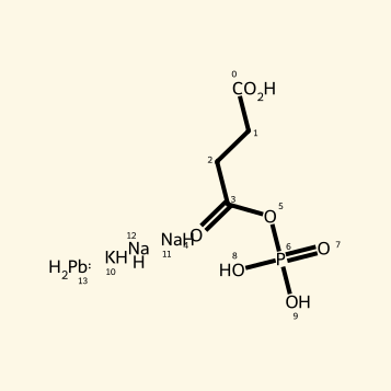 O=C(O)CCC(=O)OP(=O)(O)O.[KH].[NaH].[NaH].[PbH2]